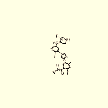 Cc1cc(F)c(C(=O)NC2CC2)cc1-n1cc(-c2cc(N[C@H]3CCNC[C@H]3F)cnc2F)cn1